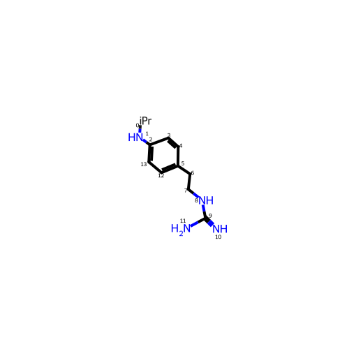 CC(C)Nc1ccc(CCNC(=N)N)cc1